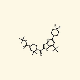 CC(C)(C)OC(=O)N1CCN(C(=O)c2cc3nc(C4CCC(F)(F)CC4)cc(C(C)(C)C)c3o2)C(C)(C)C1